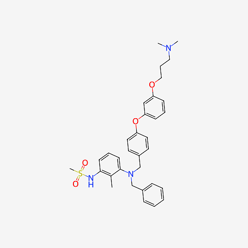 Cc1c(NS(C)(=O)=O)cccc1N(Cc1ccccc1)Cc1ccc(Oc2cccc(OCCCN(C)C)c2)cc1